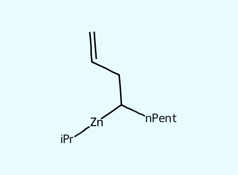 C=CC[CH](CCCCC)[Zn][CH](C)C